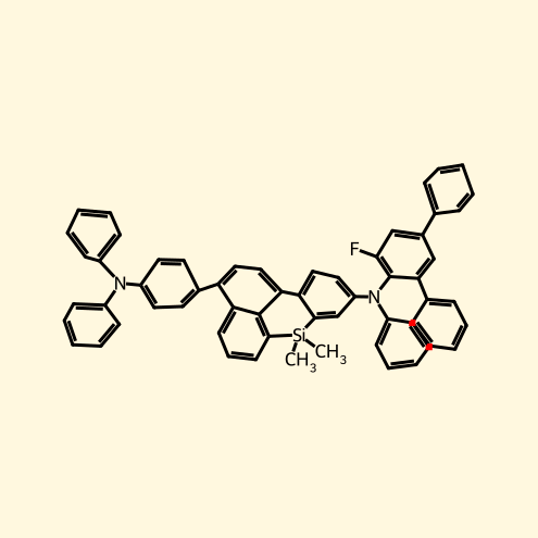 C[Si]1(C)c2cc(N(c3ccccc3)c3c(F)cc(-c4ccccc4)cc3-c3ccccc3)ccc2-c2ccc(-c3ccc(N(c4ccccc4)c4ccccc4)cc3)c3cccc1c23